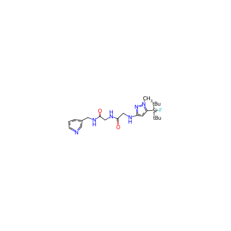 Cn1nc(NCC(=O)NCC(=O)NCc2cccnc2)cc1[Si](F)(C(C)(C)C)C(C)(C)C